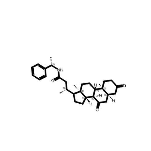 C[C@H](NC(=O)C[C@@H](C)C1CC[C@H]2[C@@H]3C(=O)C[C@@H]4CC(=O)CC[C@]4(C)[C@H]3CC[C@]12C)c1ccccc1